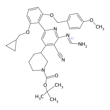 COc1ccc(COc2cccc(OCC3CC3)c2-c2cc(C3CCCN(C(=O)OC(C)(C)C)C3)c(C#N)c(/N=C/N)n2)cc1